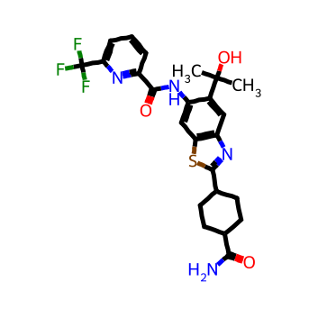 CC(C)(O)c1cc2nc(C3CCC(C(N)=O)CC3)sc2cc1NC(=O)c1cccc(C(F)(F)F)n1